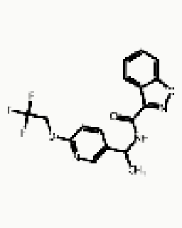 CC(NC(=O)c1noc2ccccc12)c1ccc(OCC(F)(F)F)nc1